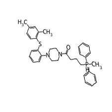 Cc1ccc(Sc2ccccc2N2CCN(C(=O)CCC[PH](C)(c3ccccc3)c3ccccc3)CC2)c(C)c1